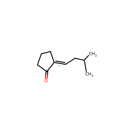 CC(C)C/C=C1\CCCC1=O